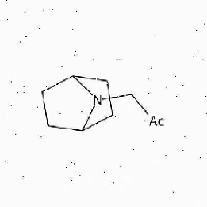 CC(=O)CN1C2CCC1CC2